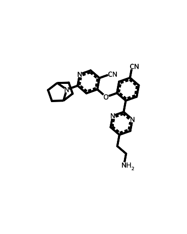 N#Cc1ccc(-c2ncc(CCN)cn2)c(Oc2cc(N3C4CCC3CC4)ncc2C#N)c1